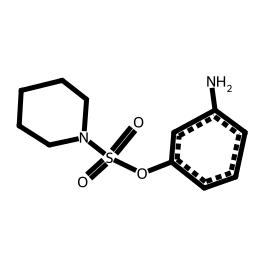 Nc1cccc(OS(=O)(=O)N2CCCCC2)c1